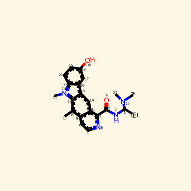 CCC(NC(=O)c1nccc2c(C)c3c(cc12)c1cc(O)ccc1n3C)N(C)C